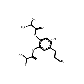 CC(C)C(=O)Oc1ccc(CCN)cc1OC(=O)C(C)C.Cl